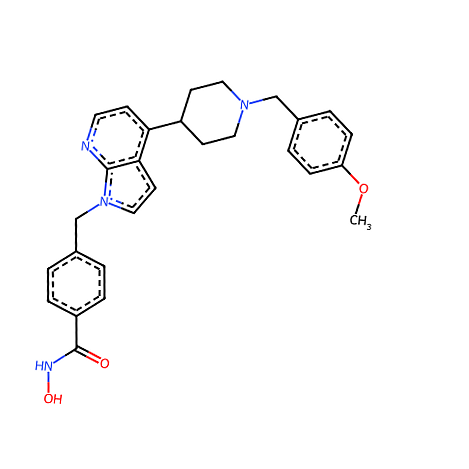 COc1ccc(CN2CCC(c3ccnc4c3ccn4Cc3ccc(C(=O)NO)cc3)CC2)cc1